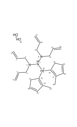 C=CCN(CC=C)[SiH](N(CC=C)CC=C)[Hf]([C]1=C(C)C=CC1)[C]1=C(C)C=CC1.Cl.Cl